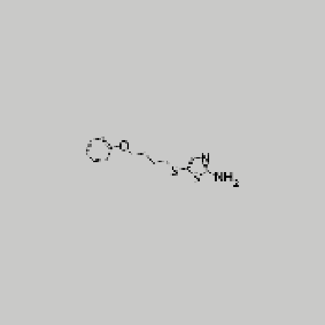 Nc1ncc(SCCCCOc2ccccc2)s1